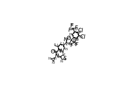 Cc1cc(C2=NOC(c3cc(Cl)c(Cl)c(C(F)(F)F)c3)(C(F)(F)F)C2)cnc1C(=O)N(C1CC1)C1CSC1